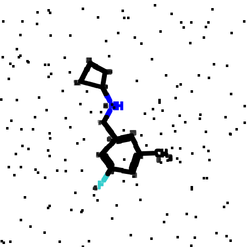 Cc1cc(F)cc(CNC2CCC2)c1